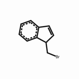 BrC[C]1C=Cc2ccccc21